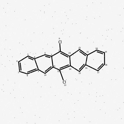 Clc1c2cc3ccccc3cc2c(Cl)c2cc3ccccc3cc12